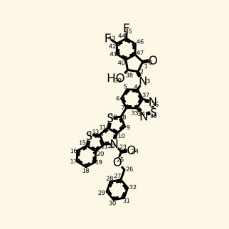 O=C1/C(=N/c2ccc(-c3cc4c(s3)c3sc5ccccc5c3n4C(=O)OCc3ccccc3)c3nsnc23)C(O)c2cc(F)c(F)cc21